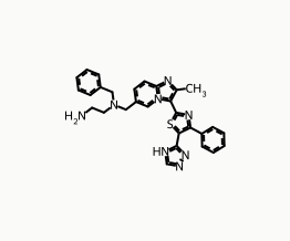 Cc1nc2ccc(CN(CCN)Cc3ccccc3)cn2c1-c1nc(-c2ccccc2)c(-c2nnc[nH]2)s1